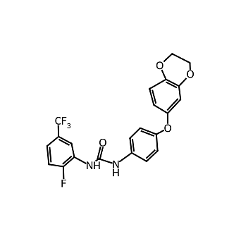 O=C(Nc1ccc(Oc2ccc3c(c2)OCCO3)cc1)Nc1cc(C(F)(F)F)ccc1F